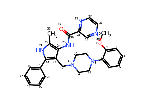 COc1ccccc1N1CCN(Cc2c(-c3ccccc3)[nH]c(C)c2NC(=O)c2cnccn2)CC1